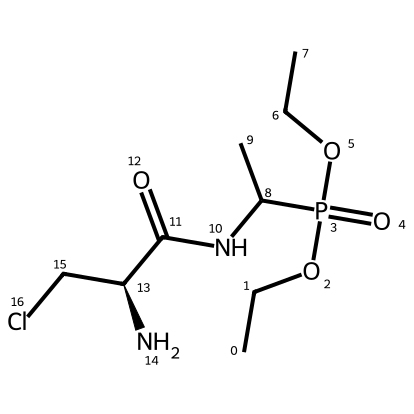 CCOP(=O)(OCC)C(C)NC(=O)[C@@H](N)CCl